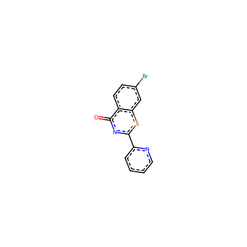 O=c1nc(-c2ccccn2)sc2cc(Br)ccc12